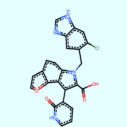 O=C(O)c1c(-c2ccc[nH]c2=O)c2c3occc3ccc2n1Cc1cc2nc[nH]c2cc1Cl